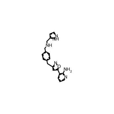 Nc1ncccc1-c1cc(Cc2ccc(CNCc3ccn[nH]3)cc2)no1